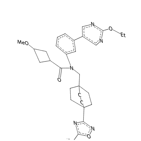 CCOc1ncc(-c2cccc(N(CC34CCC(c5noc(C(C)(C)C)n5)(CC3)CC4)C(=O)C3CC(OC)C3)c2)cn1